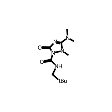 CN(C)c1nc(=O)n(C(=O)NCC(C)(C)C)n1C